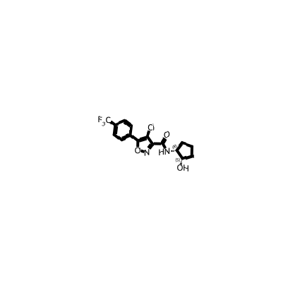 O=C(N[C@@H]1CCC[C@@H]1O)c1noc(-c2ccc(C(F)(F)F)cc2)c1Cl